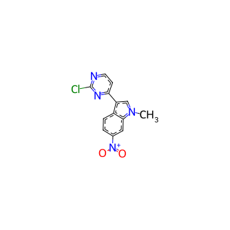 Cn1cc(-c2ccnc(Cl)n2)c2ccc([N+](=O)[O-])cc21